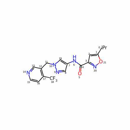 CC(C)c1cc(C(=O)Nc2cnn(Cc3cnccc3C(F)(F)F)c2)no1